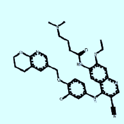 CCOc1cc2ncc(C#N)c(Nc3ccc(OCc4cnc5c(c4)CCCO5)c(Cl)c3)c2cc1NC(=O)CCCN(C)C